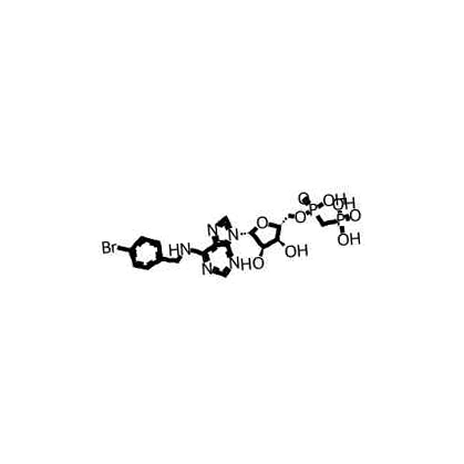 O=P(O)(O)CP(=O)(O)OC[C@H]1O[C@@H](n2cnc3c(NCc4ccc(Br)cc4)ncnc32)[C@H](O)[C@@H]1O